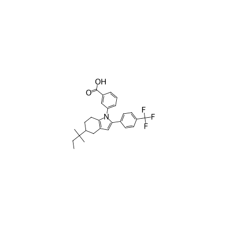 CCC(C)(C)C1CCc2c(cc(-c3ccc(C(F)(F)F)cc3)n2-c2cccc(C(=O)O)c2)C1